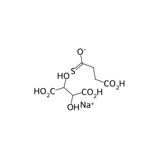 O=C(O)C(O)C(O)C(=O)O.O=C(O)CCC([O-])=S.[Na+]